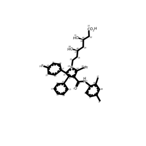 Cc1ccc(NC(=O)c2c(-c3ccccc3)c(-c3ccc(F)cc3)n(CC[C@@H](O)C[C@@H](O)CC(=O)O)c2C(C)C)c(C)c1